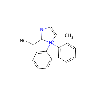 CC1=CN=C(CC#N)[N+]1(c1ccccc1)c1ccccc1